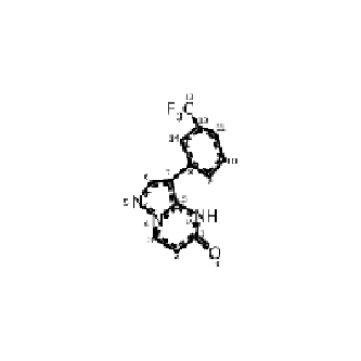 O=c1ccn2ncc(-c3cccc(C(F)(F)F)c3)c2[nH]1